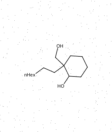 CCCCCCCCC1(CO)CCCCC1O